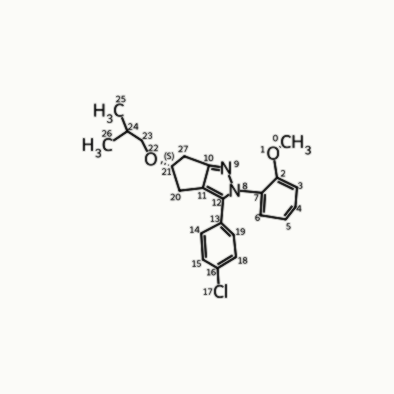 COc1ccccc1-n1nc2c(c1-c1ccc(Cl)cc1)C[C@H](OCC(C)C)C2